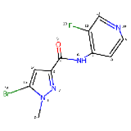 Cn1nc(C(=O)Nc2ccncc2F)cc1Br